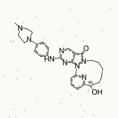 CN1CCN(c2ccc(Nc3ncc4c(=O)n5n(c4n3)-c3cccc(n3)[C@](C)(O)CCCCC5)cc2)CC1